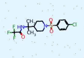 CC(C)(NC(=O)C(F)(F)F)C1CCN(S(=O)(=O)c2ccc(Cl)cc2)CC1